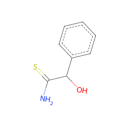 NC(=S)C(O)c1ccccc1